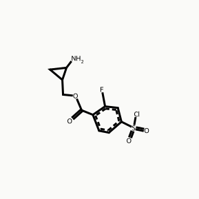 NC1CC1COC(=O)c1ccc(S(=O)(=O)Cl)cc1F